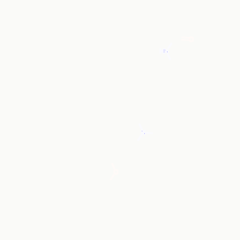 CC(C)C(=O)Nc1cccc(C2CCN(CCC(Oc3ccc(Cl)c(Cl)c3)c3ccc(F)cc3)CC2)c1